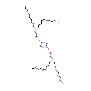 CCCCC/C=C\CCCN(CCCCCCCCCC)CCC(=O)OC[C@@H]1NC(=O)[C@H](COC(=O)CCN(CCC/C=C\CCCCC)CCCCCCCCCC)NC1=O